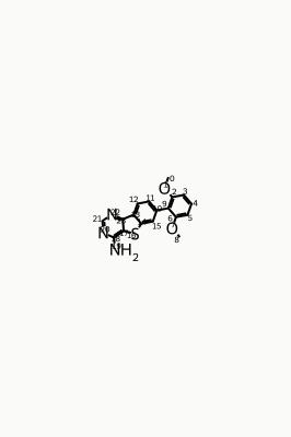 COc1cccc(OC)c1-c1ccc2c(c1)sc1c(N)ncnc12